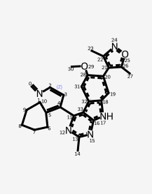 C=N/C=C\C(=C1CCCCC1)c1nc(C)nc2[nH]c3cc(-c4c(C)noc4C)c(OC)cc3c12